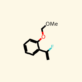 C=C(F)c1ccccc1OCOC